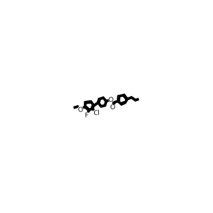 CCCc1ccc(C(=O)OC2CC=C(c3ccc(OCC)c(F)c3Cl)CC2)cc1